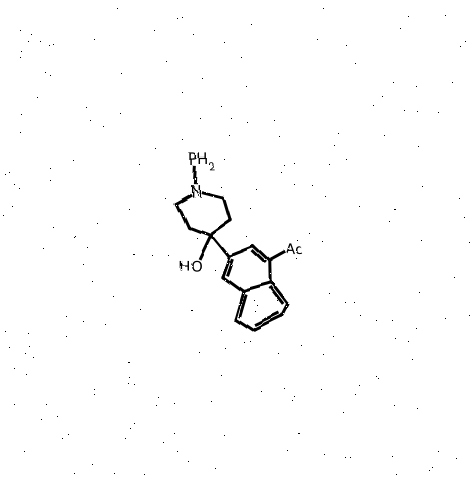 CC(=O)c1cc(C2(O)CCN(P)CC2)cc2ccccc12